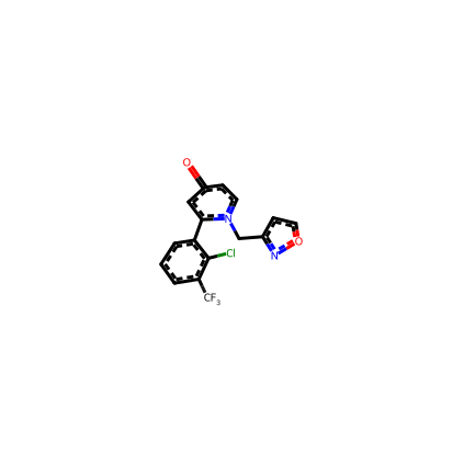 O=c1ccn(Cc2ccon2)c(-c2cccc(C(F)(F)F)c2Cl)c1